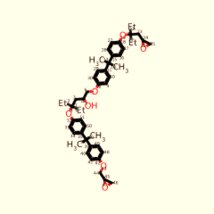 CCC(CC)(CC(O)COc1ccc(C(C)(C)c2ccc(OC(CC)(CC)CC3CO3)cc2)cc1)Oc1ccc(C(C)(C)c2ccc(OCC3CO3)cc2)cc1